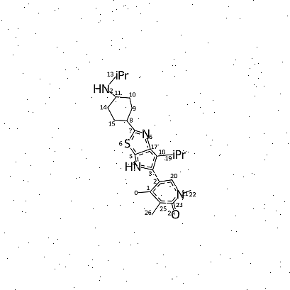 Cc1c(-c2[nH]c3sc(C4CCC(NC(C)C)CC4)nc3c2C(C)C)cn(C)c(=O)c1C